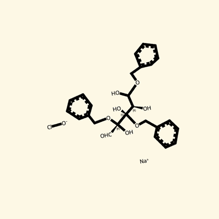 O=C[C@@](O)(OCc1ccccc1)[C@@](O)(OCc1ccccc1)[C@H](O)C(O)OCc1ccccc1.[Na+].[O-]Cl